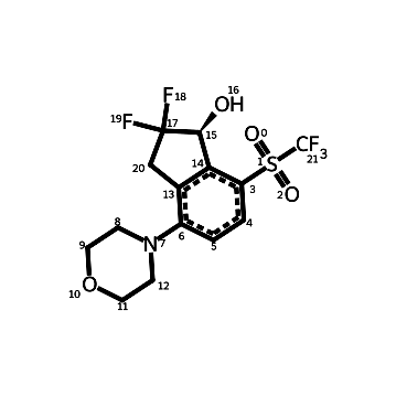 O=S(=O)(c1ccc(N2CCOCC2)c2c1[C@H](O)C(F)(F)C2)C(F)(F)F